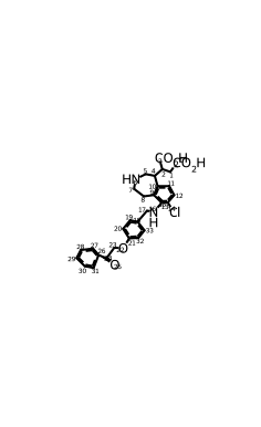 O=C(O)CC(C(=O)O)C1CNCCc2c1ccc(Cl)c2NCc1ccc(OCC(=O)c2ccccc2)cc1